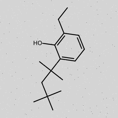 CCc1cccc(C(C)(C)CC(C)(C)C)c1O